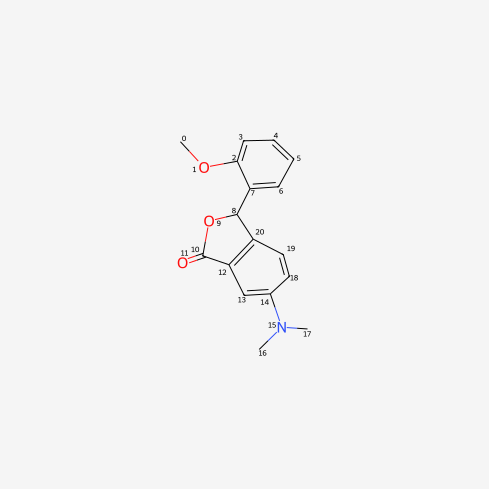 COc1ccccc1C1OC(=O)c2cc(N(C)C)ccc21